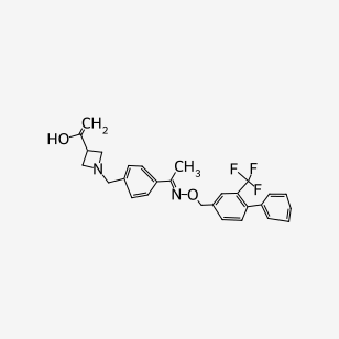 C=C(O)C1CN(Cc2ccc(/C(C)=N/OCc3ccc(-c4ccccc4)c(C(F)(F)F)c3)cc2)C1